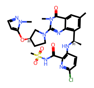 Cc1cc([C@@H](C)Nc2ccc(Cl)nc2C(=O)NS(C)(=O)=O)c2nc(N3CC[C@@H](Oc4ccnn4C)C3)n(C)c(=O)c2c1